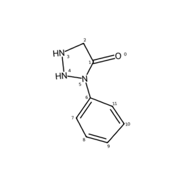 O=C1CNNN1c1ccccc1